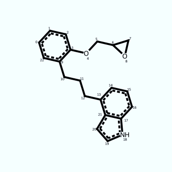 c1ccc(OCC2CO2)c(CCCc2cccc3[nH]ccc23)c1